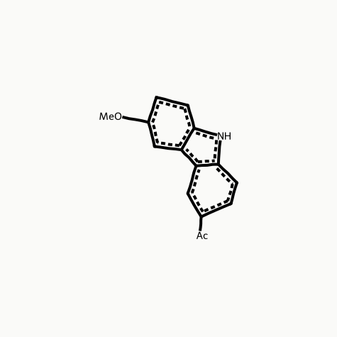 COc1ccc2[nH]c3ccc(C(C)=O)cc3c2c1